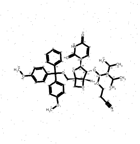 COc1ccc(C(OC[C@]23CO[C@H]2[C@@H](OP(OCCC#N)N(C(C)C)C(C)C)[C@H](n2ccc(=O)[nH]c2=O)O3)(c2ccccc2)c2ccc(OC)cc2)cc1